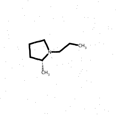 CCCN1CCC[C@H]1C